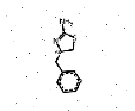 NC1=N[C@H](Cc2ccccc2)CS1